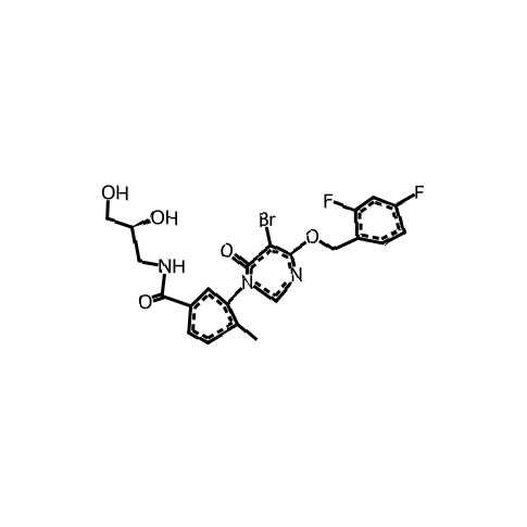 Cc1ccc(C(=O)NC[C@H](O)CO)cc1-n1cnc(OCc2ccc(F)cc2F)c(Br)c1=O